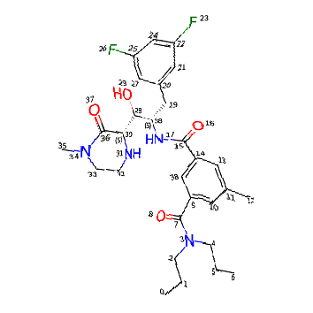 CCCN(CCC)C(=O)c1cc(C)cc(C(=O)N[C@@H](Cc2cc(F)cc(F)c2)C(O)[C@@H]2NCCN(C)C2=O)c1